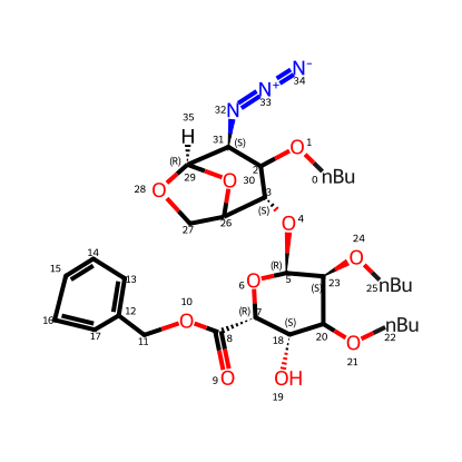 CCCCOC1[C@H](O[C@@H]2O[C@@H](C(=O)OCc3ccccc3)[C@@H](O)C(OCCCC)[C@@H]2OCCCC)C2CO[C@H](O2)[C@H]1N=[N+]=[N-]